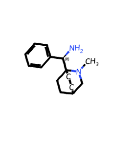 CN1CC2CCC1([C@H](N)c1ccccc1)CC2